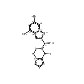 CC1c2cccn2CCN1C(=O)c1cc2c(Br)cc(Br)cn2n1